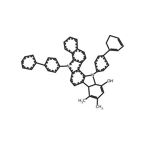 CC1=C(C)C2c3ccc4c(c3N(c3ccc(C5=CC=CCC5)cc3)C2C(O)=C1)c1ccc2ccccc2c1n4-c1ccc(-c2ccccc2)cc1